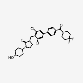 O=C(c1ccc(-c2cc(Cl)c(CC3CCN(C4CCC(O)CC4)C3=O)c(Cl)c2)cc1)N1CCC(F)(F)CC1